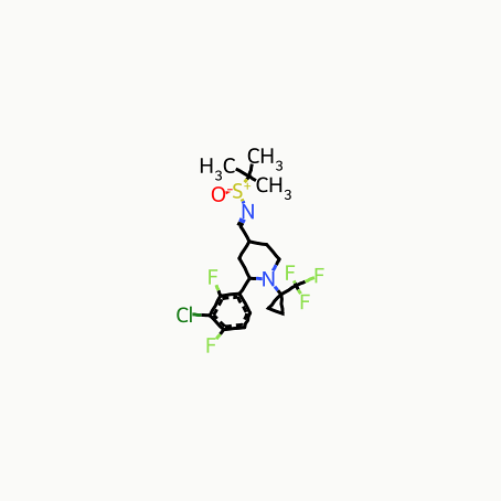 CC(C)(C)[S@@+]([O-])N=CC1CCN(C2(C(F)(F)F)CC2)C(c2ccc(F)c(Cl)c2F)C1